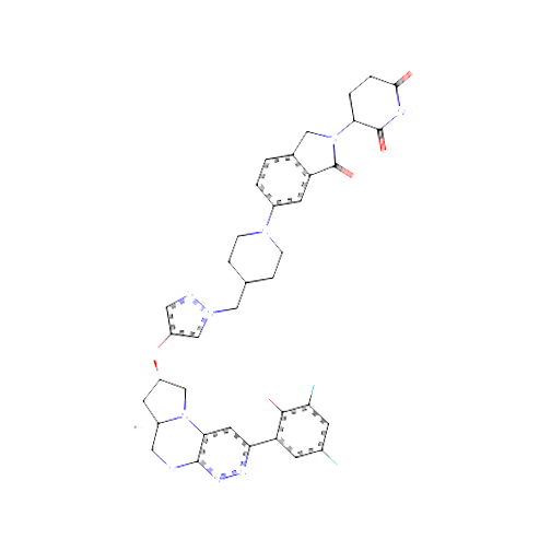 O=C1CCC(N2Cc3ccc(N4CCC(Cn5cc(O[C@@H]6C[C@@H]7CNc8nnc(-c9cc(F)cc(F)c9O)cc8N7C6)cn5)CC4)cc3C2=O)C(=O)N1